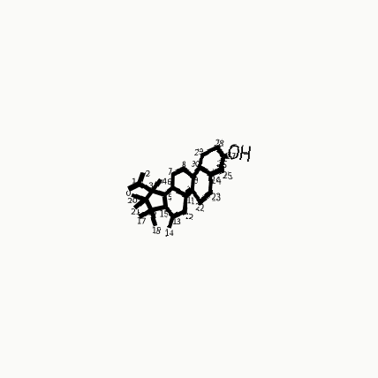 C=C(C)C1(C)C2C3CCC4C(=C3CC(C)C2C(C)(C)C1(C)C)CCC1CC(O)CCC14